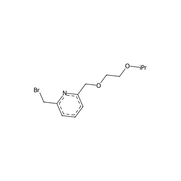 CC(C)OCCOCc1cccc(CBr)n1